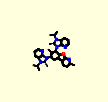 Cc1ccc2c(n1)oc1c(N3c4ncccc4N(C(C)C)[C@@H]3C)c(C)c(N3c4ncccc4N(C(C)C)[C@H]3C)cc12